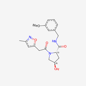 COc1cccc(CNC(=O)[C@@H]2C[C@@H](O)CN2C(=O)Cc2cc(C)no2)c1